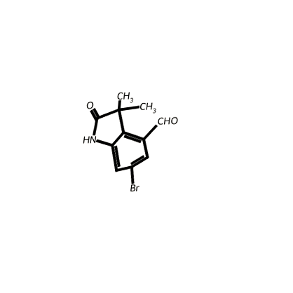 CC1(C)C(=O)Nc2cc(Br)cc(C=O)c21